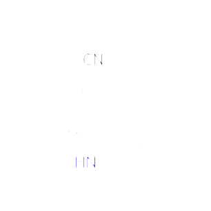 N#CC1[CH]NCC1